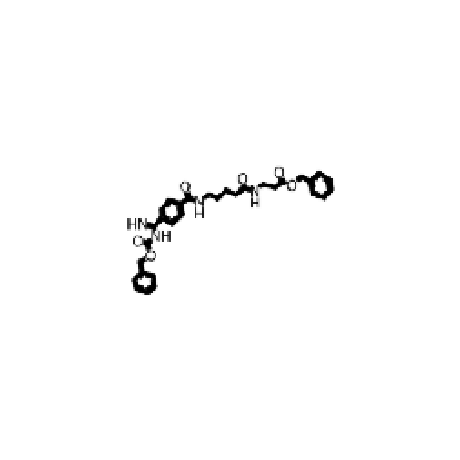 N=C(NC(=O)OCc1ccccc1)c1ccc(C(=O)NCCCCC(=O)NCCC(=O)OCc2ccccc2)cc1